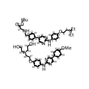 CCN(CC)CCOc1ccc(Nc2ncc(-c3ccc(CNCC(=O)OC(C)(C)C)cc3)cn2)cc1.COc1ccc(-c2cnc(Nc3ccc(OCCN(CCO)CCO)cc3)nc2)cc1